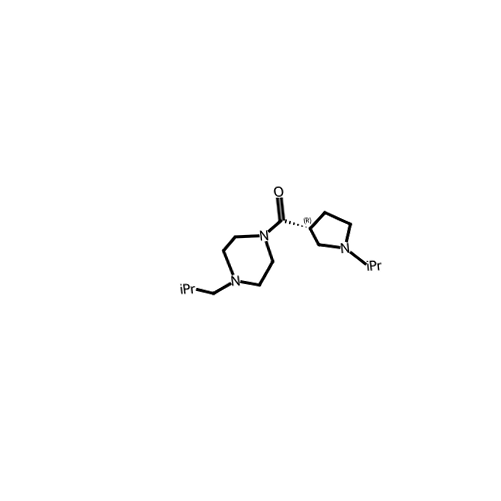 CC(C)CN1CCN(C(=O)[C@@H]2CCN(C(C)C)C2)CC1